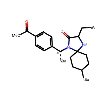 CCCC[C@H](c1ccc(C(=O)OC)cc1)N1C(=O)C(CC(C)C)NC12CCC(C(C)(C)C)CC2